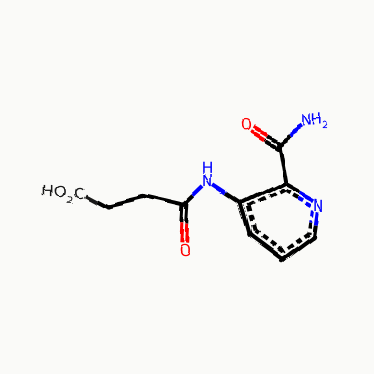 NC(=O)c1ncccc1NC(=O)CCC(=O)O